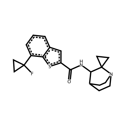 O=C(NC1C2CCN(CC2)C12CC2)c1cc2cccc(C3(F)CC3)c2s1